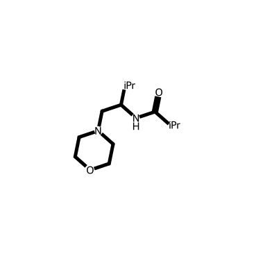 CC(C)C(=O)NC(CN1CCOCC1)C(C)C